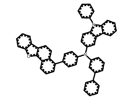 c1ccc(-c2cccc(N(c3ccc(-c4cccc5c4ccc4c6ccccc6oc54)cc3)c3ccc4c(c3)c3ccccc3n4-c3ccccc3)c2)cc1